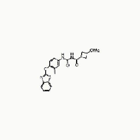 COC1CC(C(=O)NC(=O)Nc2ccc(Oc3nc4ccccc4s3)c(C)c2)C1